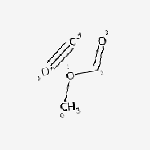 COC=O.[C-]#[O+]